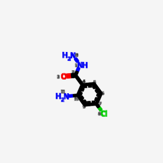 NNC(=O)c1ccc(Cl)cc1N